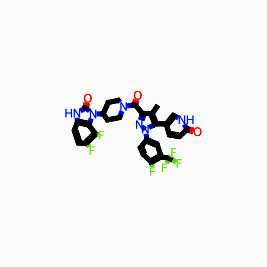 Cc1c(C(=O)N2CCC(n3c(=O)[nH]c4ccc(F)c(F)c43)CC2)nn(-c2ccc(F)c(C(F)(F)F)c2)c1-c1ccc(=O)[nH]c1